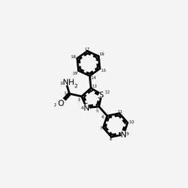 NC(=O)c1nc(-c2ccncc2)sc1-c1ccccc1